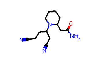 N#CCCC(CC#N)N1CCCCC1CC(N)=O